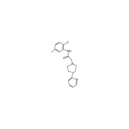 Cc1ccc(F)c(NC(=O)CN2CCC(c3ccccn3)CC2)c1